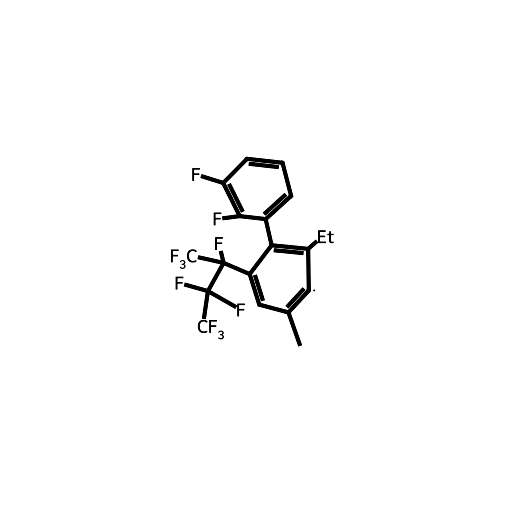 CCc1[c]c(C)cc(C(F)(C(F)(F)F)C(F)(F)C(F)(F)F)c1-c1cccc(F)c1F